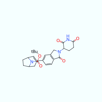 CC(C)(C)OC(=O)N1C2C=C(c3ccc4c(c3)CN(C3CCC(=O)NC3=O)C4=O)CC1CC2